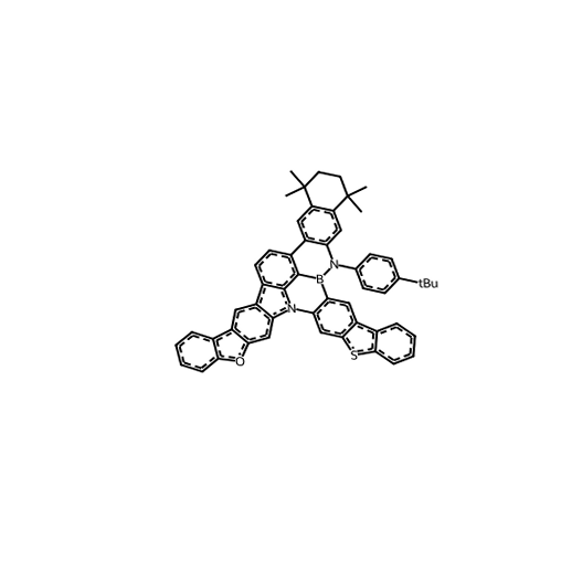 CC(C)(C)c1ccc(N2B3c4cc5c(cc4-n4c6cc7oc8ccccc8c7cc6c6ccc(c3c64)-c3cc4c(cc32)C(C)(C)CCC4(C)C)sc2ccccc25)cc1